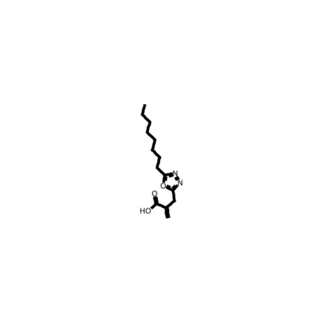 C=C(Cc1nnc(CCCCCCCC)o1)C(=O)O